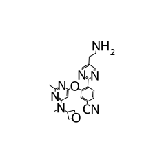 Cc1nc(Oc2cc(C#N)ccc2-c2ncc(CCN)cn2)cc(N(C)C2COC2)n1